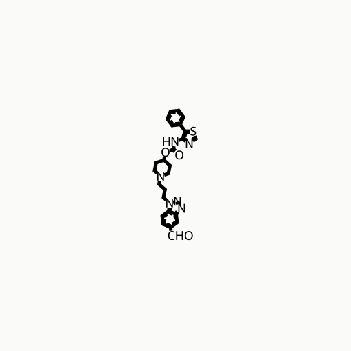 O=Cc1ccc2c(c1)nnn2CCCN1CCC(OC(=O)Nc2ncsc2-c2ccccc2)CC1